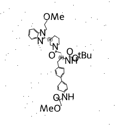 COCCCn1c([C@@H]2CCCN(C(=O)C[C@@H](Cc3ccc(-c4ccc(NC(=O)COC)cc4)cc3)NC(=O)OC(C)(C)C)C2)nc2ccccc21